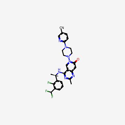 Cc1nc(N[C@H](C)c2cccc(C(F)F)c2F)c2cn(N3CCN(c4ccc(C#N)cn4)CC3)c(=O)cc2n1